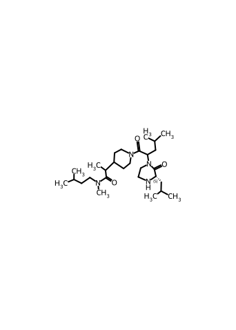 CC(C)CCN(C)C(=O)C(C)C1CCN(C(=O)C(CC(C)C)N2CCN[C@@H](CC(C)C)C2=O)CC1